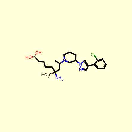 CC(CC(N)(CCCCB(O)O)C(=O)O)N1CCCC(n2cc(-c3ccccc3Cl)cn2)C1